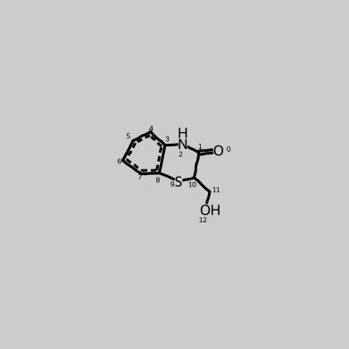 O=C1Nc2ccccc2SC1CO